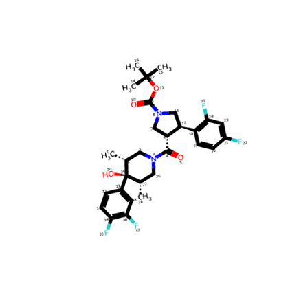 C[C@@H]1CN(C(=O)[C@@H]2CN(C(=O)OC(C)(C)C)C[C@H]2c2ccc(F)cc2F)C[C@H](C)[C@]1(O)c1ccc(F)c(F)c1